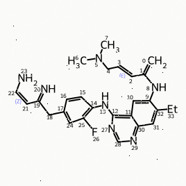 C=C(/C=C/CN(C)C)Nc1cc2c(Nc3ccc(CC(=N)/C=C\N)cc3F)ncnc2cc1CC